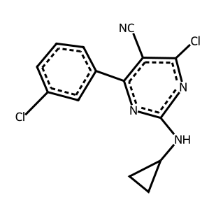 N#Cc1c(Cl)nc(NC2CC2)nc1-c1cccc(Cl)c1